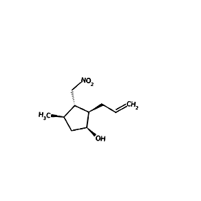 C=CC[C@@H]1[C@@H](C[N+](=O)[O-])[C@H](C)C[C@@H]1O